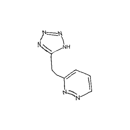 c1cnnc(Cc2nnn[nH]2)c1